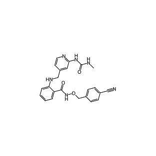 CNC(=O)Nc1cc(CNc2ccccc2C(=O)NOCc2ccc(C#N)cc2)ccn1